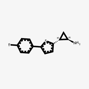 N[C@@H]1C[C@H]1c1ccc(-c2ccc(F)cc2)s1